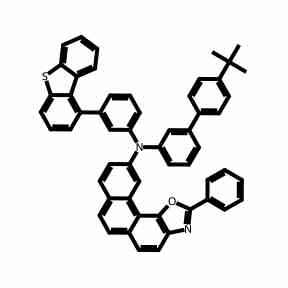 CC(C)(C)c1ccc(-c2cccc(N(c3cccc(-c4cccc5sc6ccccc6c45)c3)c3ccc4ccc5ccc6nc(-c7ccccc7)oc6c5c4c3)c2)cc1